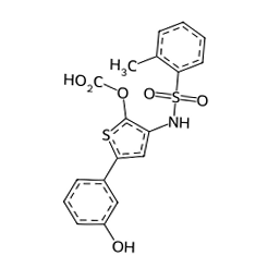 Cc1ccccc1S(=O)(=O)Nc1cc(-c2cccc(O)c2)sc1OC(=O)O